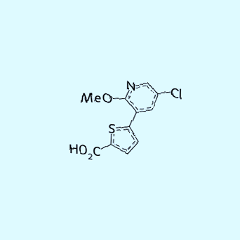 COc1ncc(Cl)cc1-c1ccc(C(=O)O)s1